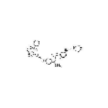 Cc1c(Cc2ccc(NCCN3CCOCC3)cc2)c(=O)oc2cc(OCCOc3no[n+]([O-])c3S(=O)(=O)c3ccccc3)ccc12